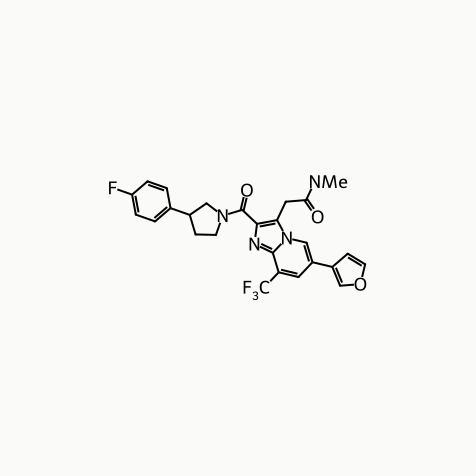 CNC(=O)Cc1c(C(=O)N2CCC(c3ccc(F)cc3)C2)nc2c(C(F)(F)F)cc(-c3ccoc3)cn12